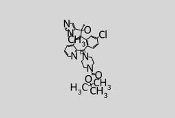 Cn1cncc1C1(C2=Cc3cccnc3[C@@H](N3CCN(C(=O)OC(C)(C)C)CC3)c3ccc(Cl)cc32)CO1